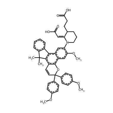 COc1ccc(C2(c3ccc(OC)cc3)C=Cc3c4c(c5cc(N6CCCC(CCC(=O)O)C6=CC(=O)O)c(OC)cc5c3O2)-c2ccccc2C4(C)C)cc1